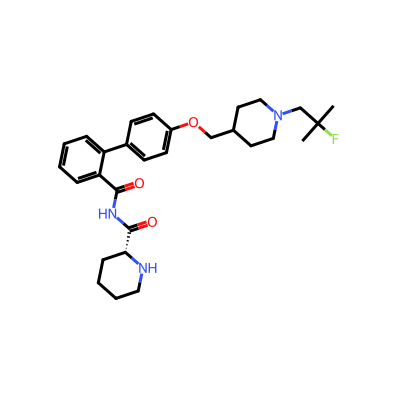 CC(C)(F)CN1CCC(COc2ccc(-c3ccccc3C(=O)NC(=O)[C@H]3CCCCN3)cc2)CC1